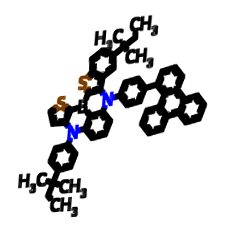 CCC(C)(C)c1ccc(N2c3ccsc3B3c4sc5ccc(C(C)(C)CC)cc5c4N(c4ccc(-c5cccc6c7ccccc7c7ccccc7c56)cc4)c4cccc2c43)cc1